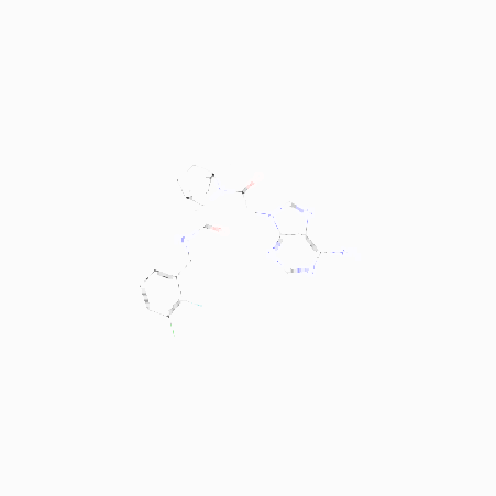 Nc1ncnc2c1ncn2CC(=O)N1[C@@H]2CC[C@@H](C2)[C@H]1C(=O)NCc1cccc(Cl)c1F